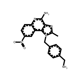 Cc1nc2c(N)nc3ccc([N+](=O)[O-])cc3c2n1Cc1ccc(CN)cc1